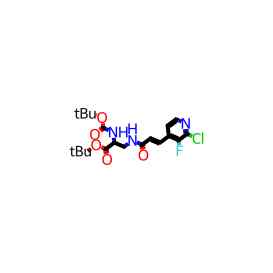 CC(C)(C)OC(=O)NC(CNC(=O)/C=C/c1ccnc(Cl)c1F)C(=O)OC(C)(C)C